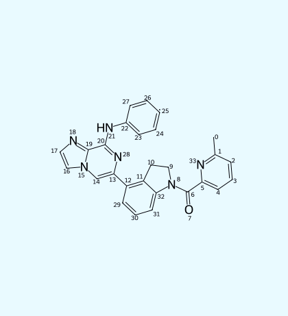 Cc1cccc(C(=O)N2CCc3c(-c4cn5ccnc5c(Nc5cc[c]cc5)n4)cccc32)n1